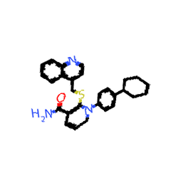 NC(=O)C1=C(SCc2ccnc3ccccc23)N(c2ccc(C3CCCCC3)cc2)CC=C1